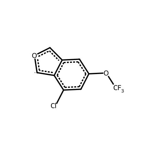 FC(F)(F)Oc1cc(Cl)c2[c]occ2c1